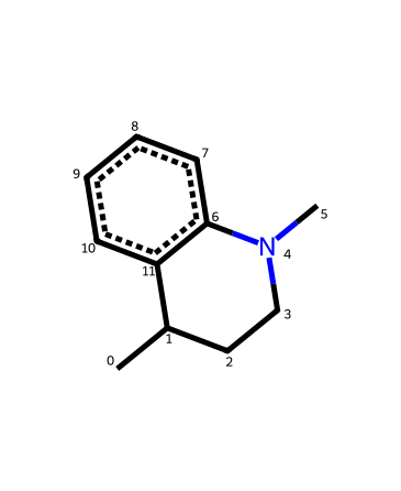 CC1CCN(C)c2ccccc21